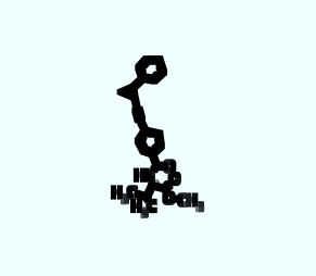 COC(=O)[C@@H](NC(=O)c1ccc(C#CC2CC2c2ccccc2)cc1)C(C)C